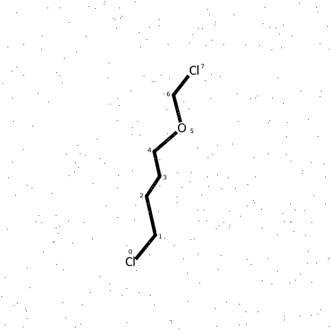 ClCCCCOCCl